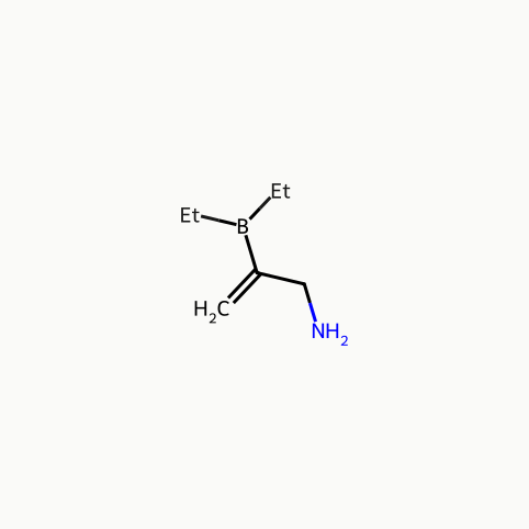 C=C(CN)B(CC)CC